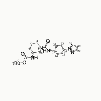 CC(C)(C)OC(=O)N[C@@H]1CCCN(C(=O)Nc2ccc(-n3cccn3)cc2)C1